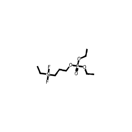 CCOP(=O)(OCC)OCCC[Si](F)(F)CC